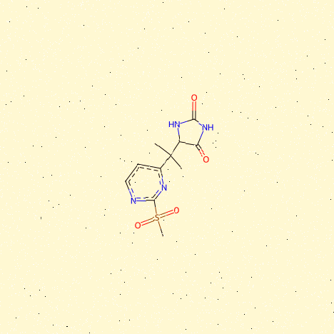 CC(C)(c1ccnc(S(C)(=O)=O)n1)C1NC(=O)NC1=O